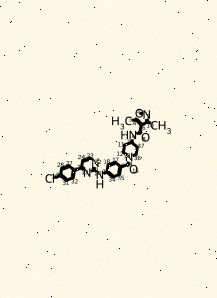 Cc1noc(C)c1C(=O)NC1CCN(C(=O)c2ccc(Nc3nccc(-c4ccc(Cl)cc4)n3)cc2)CC1